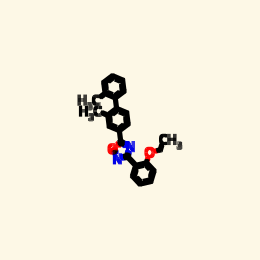 CCOc1ccccc1-c1noc(-c2ccc(-c3ccccc3C)c(C)c2)n1